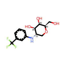 OC[C@H]1OC[C@H](Nc2cccc(C(F)(F)F)c2)[C@@H](O)[C@H]1O